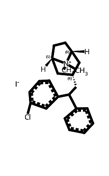 C[N+]1(C)[C@@H]2CC[C@H]1C[C@@H](CC(c1ccccc1)c1cccc(Cl)c1)C2.[I-]